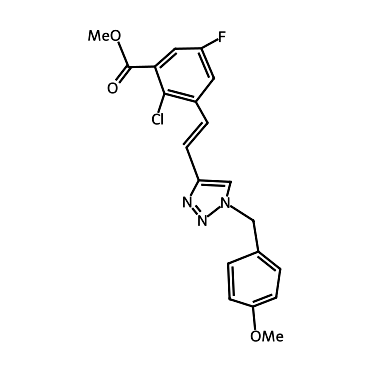 COC(=O)c1cc(F)cc(C=Cc2cn(Cc3ccc(OC)cc3)nn2)c1Cl